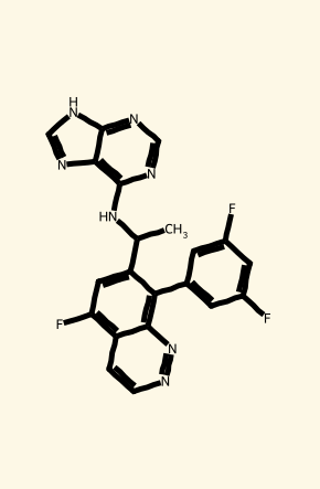 CC(Nc1ncnc2[nH]cnc12)c1cc(F)c2ccnnc2c1-c1cc(F)cc(F)c1